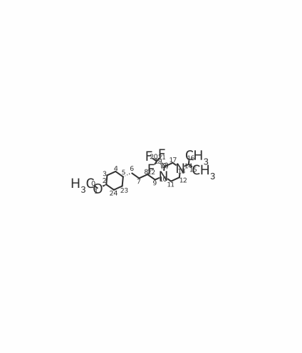 CO[C@H]1CC[C@H](CCCCN2CCN(C(C)C)C[C@H]2C(F)(F)F)CC1